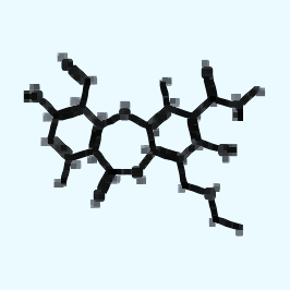 CCOCc1c(O)c(C(=O)NC)c(C)c2c1OC(=O)c1c(C)cc(O)c(C=O)c1O2